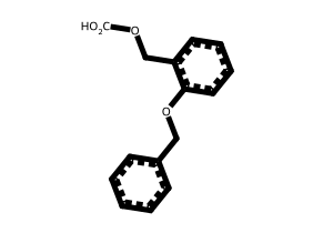 O=C(O)OCc1ccccc1OCc1ccccc1